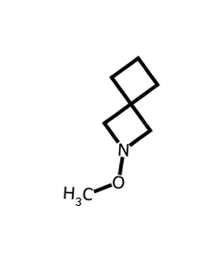 CON1CC2(CCC2)C1